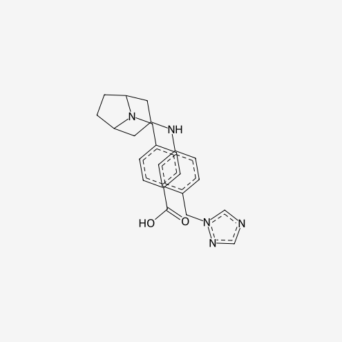 O=C(O)c1ccc(CN2C3CCC2CC(Nc2ccc(Cn4cncn4)cc2)C3)cc1